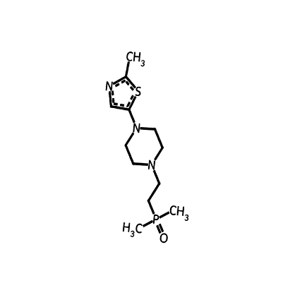 Cc1ncc(N2CCN(CCP(C)(C)=O)CC2)s1